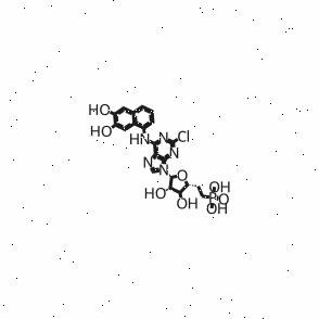 O=P(O)(O)CC[C@H]1O[C@@H](n2cnc3c(Nc4cccc5cc(O)c(O)cc45)nc(Cl)nc32)[C@@H](O)C1O